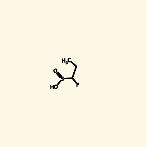 CCC(F)S(=O)O